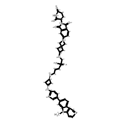 Cn1c2ccncc2c2ccc(-c3ccc(O[C@H]4C[C@H](OCCCC(F)(F)COC5CC6(C5)CN(c5ccc7c(c5)C(=O)N(C5CCC(=O)NC5=O)C7=O)C6)C4)nc3)cc21